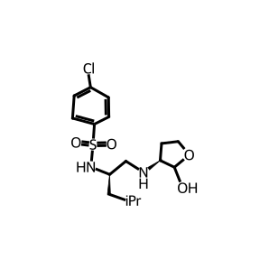 CC(C)C[C@H](CN[C@H]1CCOC1O)NS(=O)(=O)c1ccc(Cl)cc1